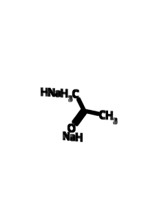 CC(C)=O.[NaH].[NaH]